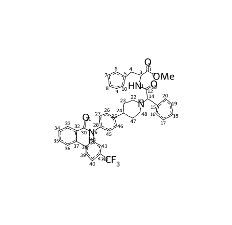 COC(=O)C(Cc1ccccc1)NC(=O)C(c1ccccc1)N1CCC(c2ccc(NC(=O)c3ccccc3-c3ccc(C(F)(F)F)cc3)cc2)CC1